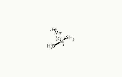 [BH2][Ni][SiH3].[Cr].[Fe].[Mn]